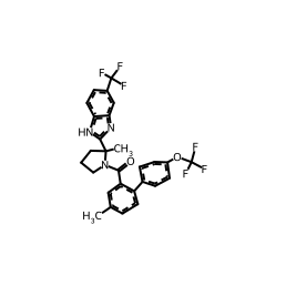 Cc1ccc(-c2ccc(OC(F)(F)F)cc2)c(C(=O)N2CCCC2(C)c2nc3cc(C(F)(F)F)ccc3[nH]2)c1